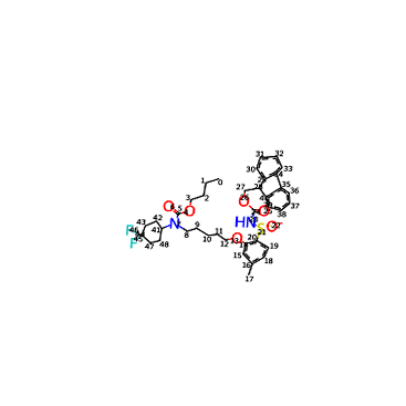 CCCCOC(=O)N(CCCCCOc1cc(C)ccc1[S+]([O-])NC(=O)OCC1c2ccccc2-c2ccccc21)C1CCC(F)(F)CC1